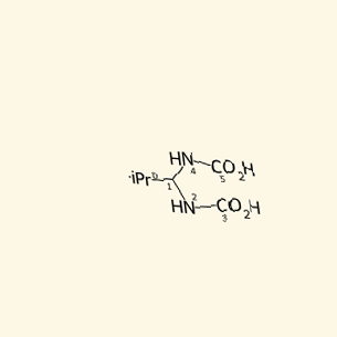 C[C](C)C(NC(=O)O)NC(=O)O